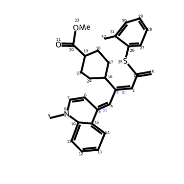 C=C(/C=C(/C=C1\C=CN(C)c2ccccc21)C1CCC(C(=O)OC)CC1)Sc1ccccc1C